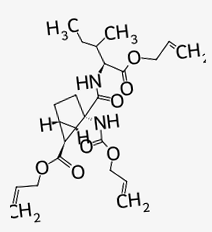 C=CCOC(=O)N[C@@]1(C(=O)N[C@H](C(=O)OCC=C)C(C)CC)CC[C@H]2[C@H](C(=O)OCC=C)[C@H]21